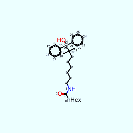 CCCCCCC(=O)NCCCCCCC(C)(C)[Si](O)(c1ccccc1)c1ccccc1